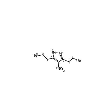 O=[N+]([O-])c1c(CCBr)n[nH]c1CCBr